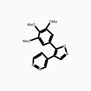 COc1cc(-c2oncc2-c2ccnnc2)cc(OC)c1OC